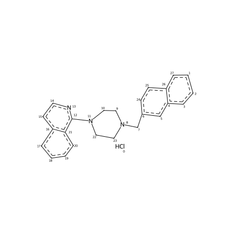 Cl.c1ccc2cc(CN3CCN(c4nccc5ccccc45)CC3)ccc2c1